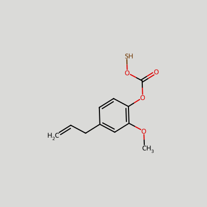 C=CCc1ccc(OC(=O)OS)c(OC)c1